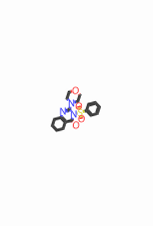 O=c1c2c(nc(N3CCOCC3)n1S(=O)(=O)c1ccccc1)CCCC2